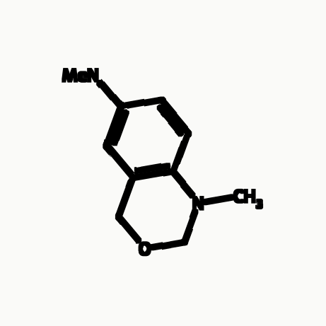 CNc1ccc2c(c1)COCN2C